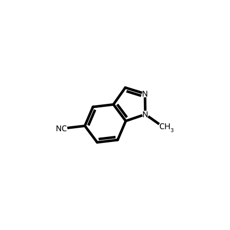 Cn1ncc2cc(C#N)ccc21